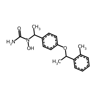 Cc1ccccc1C(C)Oc1ccc(C(C)N(O)C(N)=O)cc1